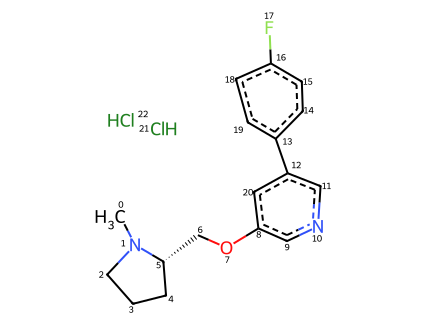 CN1CCC[C@H]1COc1cncc(-c2ccc(F)cc2)c1.Cl.Cl